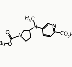 CN(c1ccc(C(=O)O)nc1)C1CCN(C(=O)OC(C)(C)C)C1